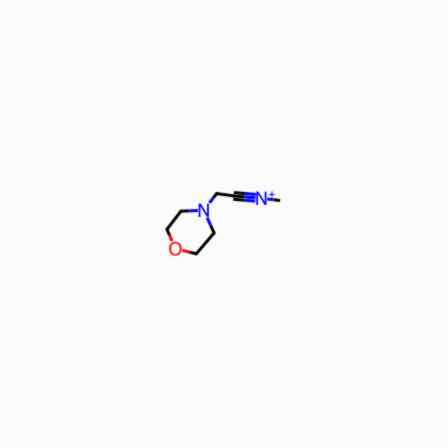 C[N+]#CCN1CCOCC1